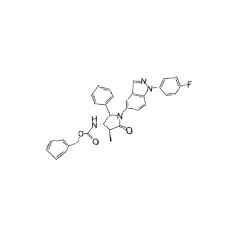 C[C@@H]1C(=O)N(c2ccc3c(cnn3-c3ccc(F)cc3)c2)C(c2ccccc2)[C@H]1NC(=O)OCc1ccccc1